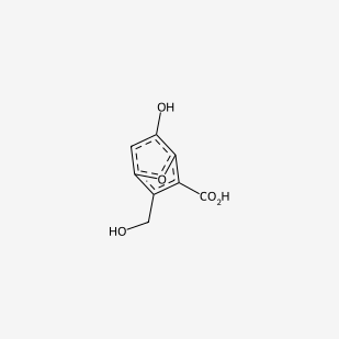 O=C(O)c1c(CO)c2cc(O)c1o2